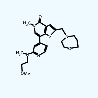 COCCN(C)c1cc(-c2cn(C)c(=O)c3cc(CN4CCCOCC4)sc23)ccn1